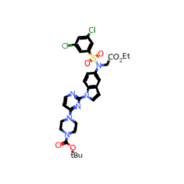 CCOC(=O)CN(c1ccc2c(ccn2-c2nccc(N3CCN(C(=O)OC(C)(C)C)CC3)n2)c1)S(=O)(=O)c1cc(Cl)cc(Cl)c1